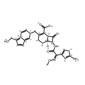 CO/N=C(\C(=O)N[C@@H]1C(=O)N2C(C(=O)[O-])=C(Cn3cc[n+]4c(CO)ccc-4c3)CS[C@H]12)c1csc(N)n1